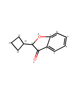 O=C1c2ccccc2OC1C1CCC1